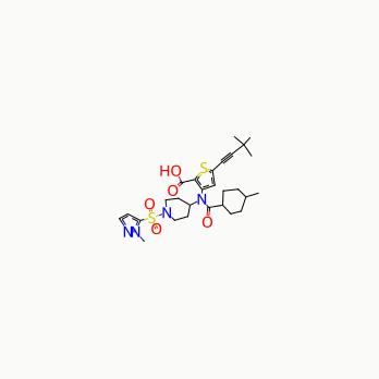 CC1CCC(C(=O)N(c2cc(C#CC(C)(C)C)sc2C(=O)O)C2CCN(S(=O)(=O)c3ccnn3C)CC2)CC1